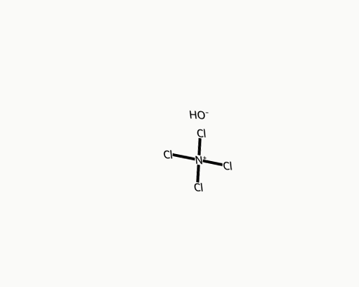 Cl[N+](Cl)(Cl)Cl.[OH-]